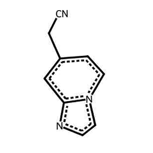 N#CCc1ccn2ccnc2c1